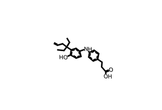 C=CCC(CC)(CC)c1cc(Nc2ccc(CCC(=O)O)cc2)ccc1O